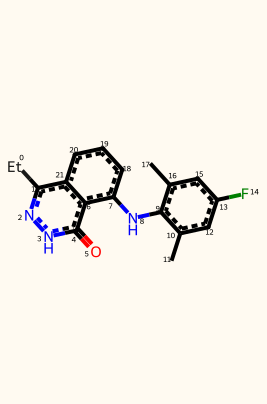 CCc1n[nH]c(=O)c2c(Nc3c(C)cc(F)cc3C)cccc12